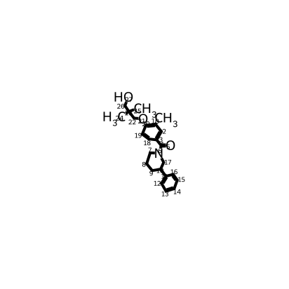 Cc1cc(C(=O)N2CCCC(c3ccccc3)C2)ccc1OCC(C)(C)CO